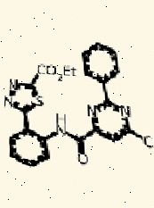 CCOC(=O)c1nnc(-c2ccccc2NC(=O)c2cc(Cl)nc(-c3ccccc3)n2)s1